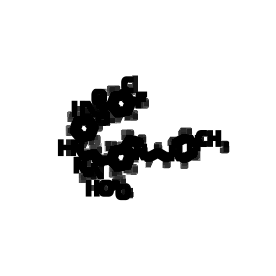 CN1CCN(CCCn2ccc3cc(-c4cc(Nc5ccc(NS(=O)(=O)c6ccc(F)c(Cl)c6)cc5)ncn4)ccc32)CC1.O=CO